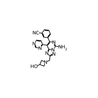 N#Cc1cccc(-c2nc(N)n3nc(CN4CC(O)C4)nc3c2-c2ccncn2)c1